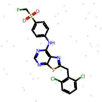 O=S(=O)(CF)c1ccc(Nc2ncnc3sc(Cc4c(Cl)cccc4Cl)nc23)cc1